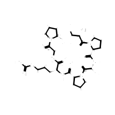 CC[C@H](C)[C@H](NC(=O)[C@@H]1CCCN1C(=O)[C@@H](N)CC(C)C)C(=O)N1CCC[C@H]1C(=O)N[C@@H](CCCNC(=N)N)C(=O)NCC(=O)N1CCC[C@H]1C(=O)O